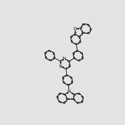 c1ccc(-c2nc(-c3ccc(-n4c5ccccc5c5ccccc54)cc3)cc(-c3cccc(-c4ccc5oc6ccccc6c5c4)c3)n2)cc1